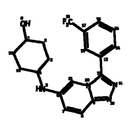 OC1CCC(Nc2ccc3nnc(-c4cccc(C(F)(F)F)c4)n3c2)CC1